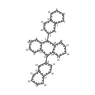 c1ccc2cc(-c3c4cnccc4c(-c4ccc5ccccc5c4)c4ncccc34)ccc2c1